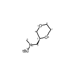 CN(C[C@H]1COCCO1)C(C)(C)C